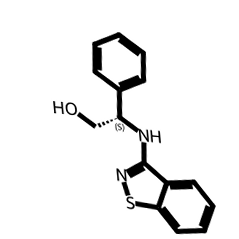 OC[C@@H](Nc1nsc2ccccc12)c1ccccc1